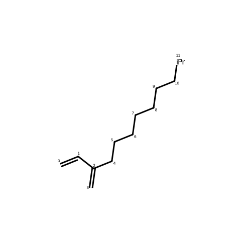 C=CC(=C)CCCCCCCC(C)C